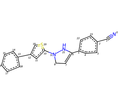 N#Cc1ccc(C2=CCN(c3cc(-c4ccccc4)cs3)N2)cc1